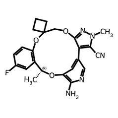 C[C@H]1Oc2cc(cnc2N)-c2c(nn(C)c2C#N)OCC2(CCC2)Oc2ccc(F)cc21